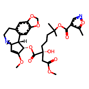 COC(=O)C[C@](O)(CCCC(C)(C)OC(=O)c1cnoc1C)C(=O)O[C@@H]1C(OC)=C[C@]23CCCN2CCc2cc4c(cc2[C@H]13)OCO4